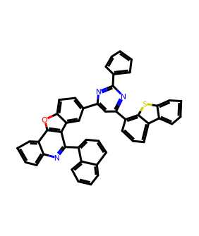 c1ccc(-c2nc(-c3ccc4oc5c6ccccc6nc(-c6cccc7ccccc67)c5c4c3)cc(-c3cccc4c3sc3ccccc34)n2)cc1